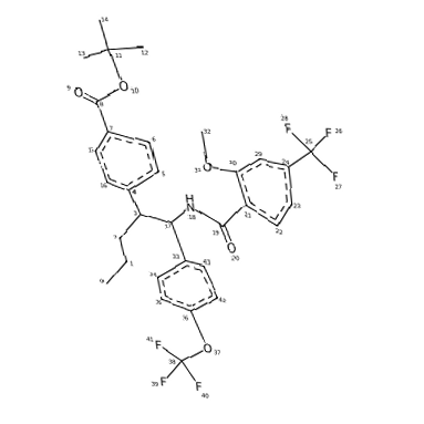 CCCC(c1ccc(C(=O)OC(C)(C)C)cc1)C(NC(=O)c1ccc(C(F)(F)F)cc1OC)c1ccc(OC(F)(F)F)cc1